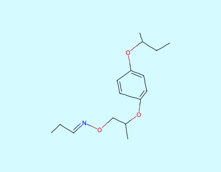 CC/C=N/OCC(C)Oc1ccc(OC(C)CC)cc1